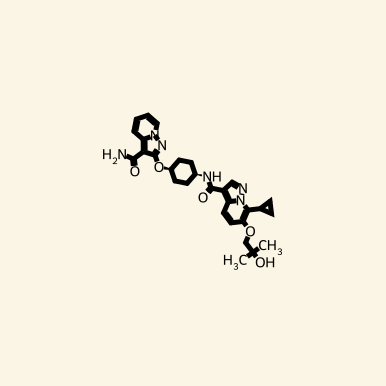 CC(C)(O)COc1ccc2c(C(=O)N[C@H]3CC[C@H](Oc4nn5ccccc5c4C(N)=O)CC3)cnn2c1C1CC1